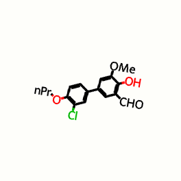 CCCOc1ccc(-c2cc(C=O)c(O)c(OC)c2)cc1Cl